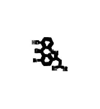 CCN(CC)Cc1nn2c3cccc(O)c3c(=O)c3c(Br)ccc1c32